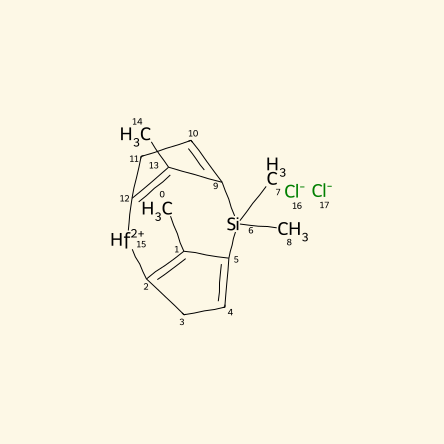 CC1=[C]2CC=C1[Si](C)(C)C1=CC[C](=C1C)[Hf+2]2.[Cl-].[Cl-]